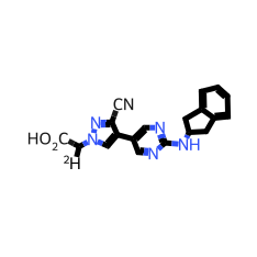 [2H]C(C(=O)O)n1cc(-c2cnc(NC3Cc4ccccc4C3)nc2)c(C#N)n1